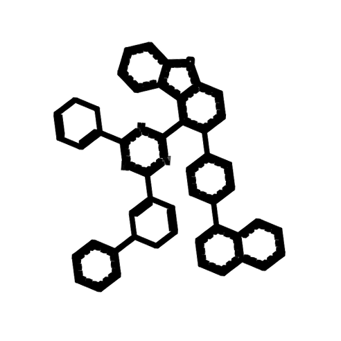 C1=CCCC(c2nc(C3=CC(c4ccccc4)CC=C3)nc(-c3c(-c4ccc(-c5cccc6ccccc56)cc4)ccc4oc5ccccc5c34)n2)=C1